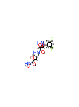 CONC(=O)C1=C[C@@H](CNC(=O)C(C)(O)CC(=N)c2cc(F)cc(F)c2)CO1